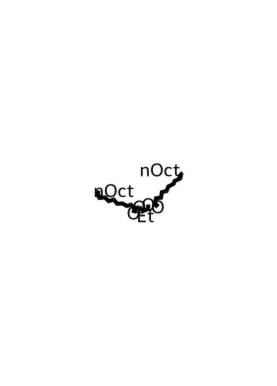 CCCCCCCC/C=C\CCCCCCCC(=O)OC[C@H](CC)OC(=O)CCCCCCC/C=C\CCCCCCCC